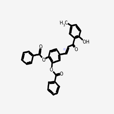 Cc1ccc(O)c(C(=O)/C=C/c2ccc(OC(=O)c3ccccc3)c(OC(=O)c3ccccc3)c2)c1